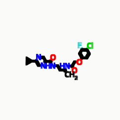 C=C(CCNC(=O)c1cnc(C2CC2)cn1)NC(=O)COc1ccc(Cl)c(F)c1